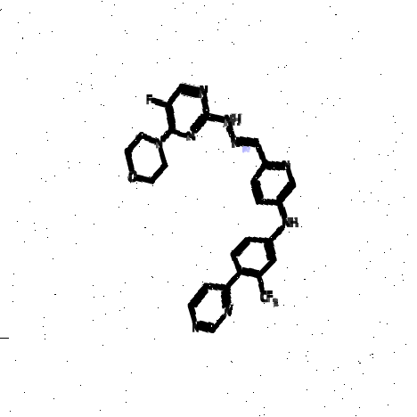 Fc1cnc(N/N=C/c2ccc(Nc3ccc(-c4ccncn4)c(C(F)(F)F)c3)cn2)nc1N1CCOCC1